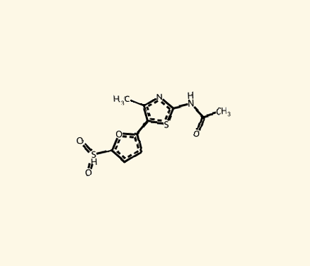 CC(=O)Nc1nc(C)c(-c2ccc([SH](=O)=O)o2)s1